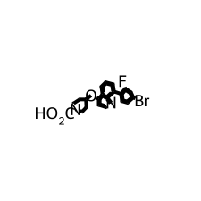 O=C(O)N1CCC(Oc2ccnc3c(-c4ccc(Br)cc4F)cccc23)CC1